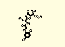 CC(C)C[C@H](NC(=O)CNc1cc(Cl)ccc1Cl)B1OC(=O)[C@@H]([C@H](C(=O)O)N(C)C)O1